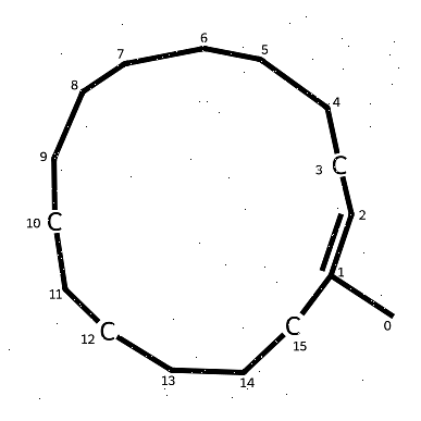 CC1=CCCCCCCCCCCCCC1